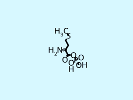 CSCC[C@H](N)C(=O)OP(=O)(O)O